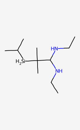 CCNC(NCC)C(C)(C)[SiH2]C(C)C